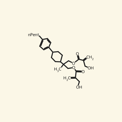 C=C(CO)C(=O)OCC(C)(COC(=O)C(=C)CO)C1CCC(c2ccc(CCCCC)cc2)CC1